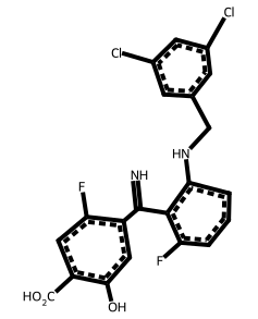 N=C(c1cc(O)c(C(=O)O)cc1F)c1c(F)cccc1NCc1cc(Cl)cc(Cl)c1